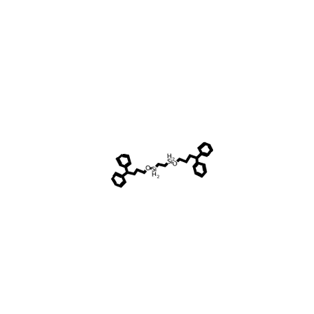 c1ccc(C(CCCO[SiH2]CC[SiH2]OCCCC(c2ccccc2)c2ccccc2)c2ccccc2)cc1